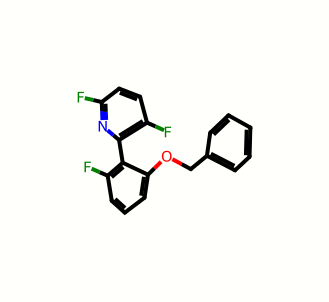 Fc1ccc(F)c(-c2c(F)cccc2OCc2ccccc2)n1